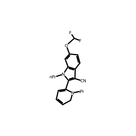 CCCn1c(C2=CC=CCN2C(C)C)c(C#N)c2ccc(OC(F)F)cc21